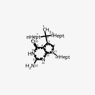 CCCCCCCn1cc(C(C)(CCCCCCC)CCCCCCC)c2c(=O)[nH]c(N)nc21